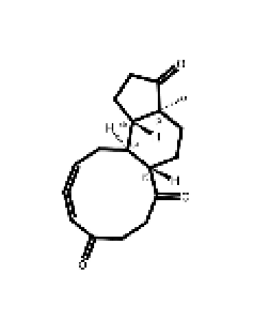 C[C@]12CC[C@@H]3C(=O)CCC(=O)C=C=CC[C@H]3[C@@H]1CCC2=O